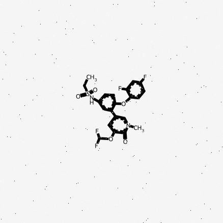 CCS(=O)(=O)Nc1ccc(Oc2ccc(F)cc2F)c(-c2cc(OC(F)F)c(=O)n(C)c2)c1